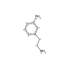 NCCc1[c]ccc(P)c1